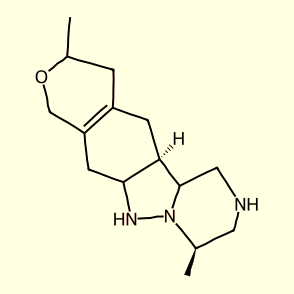 CC1CC2=C(CO1)CC1NN3C(CNC[C@H]3C)[C@@H]1C2